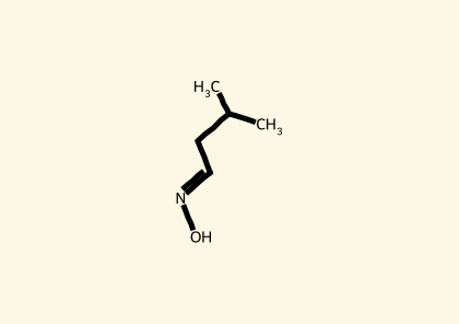 CC(C)C/C=N/O